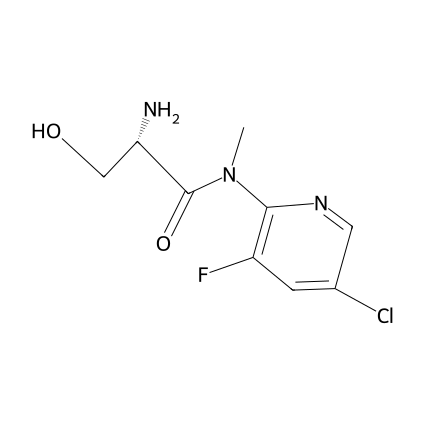 CN(C(=O)[C@@H](N)CO)c1ncc(Cl)cc1F